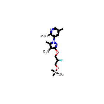 COc1ncc(C)cc1-n1nc(OCC(F)CO[Si](C)(C)C(C)(C)C)c([N+](=O)[O-])c1C